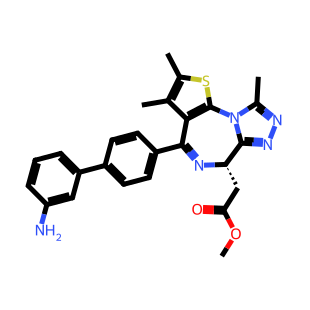 COC(=O)C[C@@H]1N=C(c2ccc(-c3cccc(N)c3)cc2)c2c(sc(C)c2C)-n2c(C)nnc21